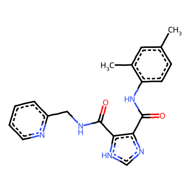 Cc1ccc(NC(=O)c2nc[nH]c2C(=O)NCc2ccccn2)c(C)c1